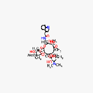 COC1(C)CC(O[C@H]2[C@H](C)[C@@H](OC3OC(C)CC(N(C)C)C3O)[C@](C)(O)C[C@@H](C)C(=O)[C@H](C)[C@@H](O)[C@](C)(O)[C@@H](CCNC(=O)Cc3ccnc4ccccc34)OC(=O)[C@@H]2C)OC(C)C1O